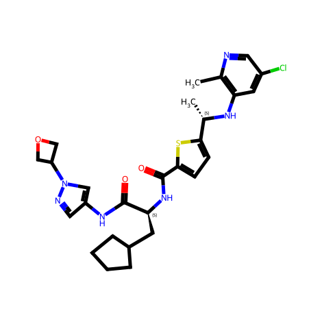 Cc1ncc(Cl)cc1N[C@@H](C)c1ccc(C(=O)N[C@@H](CC2CCCC2)C(=O)Nc2cnn(C3COC3)c2)s1